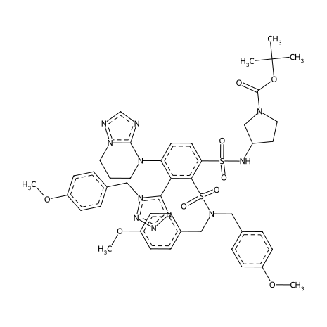 COc1ccc(CN(Cc2ccc(OC)cc2)S(=O)(=O)c2c(S(=O)(=O)NC3CCN(C(=O)OC(C)(C)C)C3)ccc(N3CCCn4ncnc43)c2-c2nnnn2Cc2ccc(OC)cc2)cc1